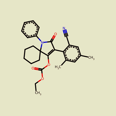 CCOC(=O)OC1=C(c2c(C)cc(C)cc2C#N)C(=O)N(c2ccccc2)C12CCCCC2